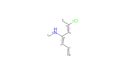 C=C/C=C(\C=C(/C)Cl)NC